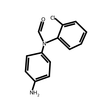 Nc1ccc(N(C=O)c2ccccc2Cl)cc1